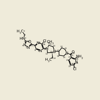 CCNc1nnc(-c2cnc(N3C[C@H](CC)N(C4CCN(C(=O)c5ccc(Cl)nc5N)CC4)C[C@H]3C)c(Cl)n2)o1